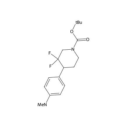 CNc1ccc(C2CCN(C(=O)OC(C)(C)C)CC2(F)F)cc1